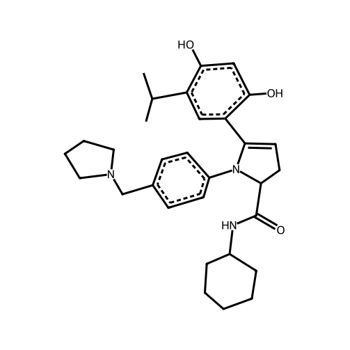 CC(C)c1cc(C2=CCC(C(=O)NC3CCCCC3)N2c2ccc(CN3CCCC3)cc2)c(O)cc1O